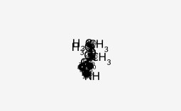 CN(CCC(Oc1cccc(N2CCNCC2)c1)c1cccs1)C(=O)OCC[Si](C)(C)C